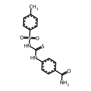 Cc1ccc(S(=O)(=O)NC(=S)Nc2ccc(C(N)=O)cc2)cc1